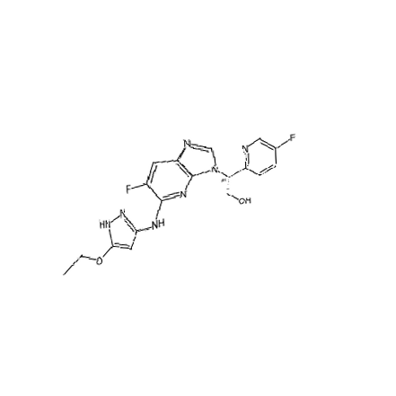 CCOc1cc(Nc2nc3c(cc2F)ncn3[C@@H](CO)c2ccc(F)cn2)n[nH]1